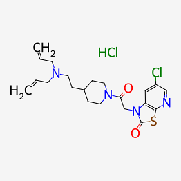 C=CCN(CC=C)CCC1CCN(C(=O)Cn2c(=O)sc3ncc(Cl)cc32)CC1.Cl